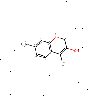 CCC1=C(O)COc2cc([N+](=O)[O-])ccc21